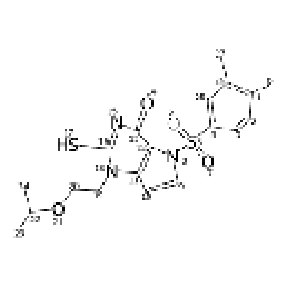 Cc1ccc(S(=O)(=O)n2ccc3c2c(=O)nc(S)n3CCOC(C)C)cc1C